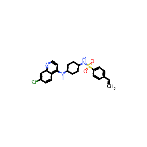 C=Cc1ccc(S(=O)(=O)NC2CCC(Nc3ccnc4cc(Cl)ccc34)CC2)cc1